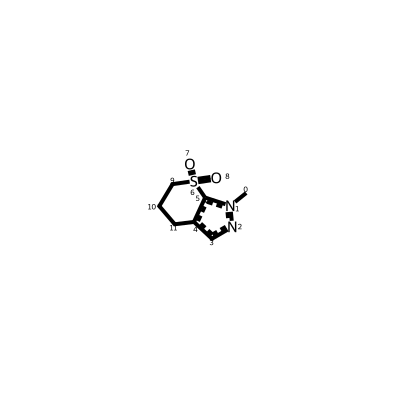 Cn1ncc2c1S(=O)(=O)CCC2